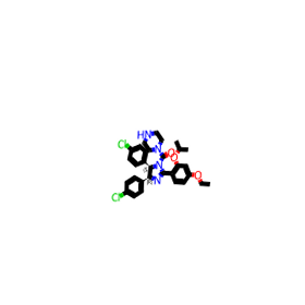 CCOc1ccc(C2=N[C@H](c3ccc(Cl)cc3)[C@H](c3ccc(Cl)cc3)N2C(=O)N2CCNCC2)c(OC(C)C)c1